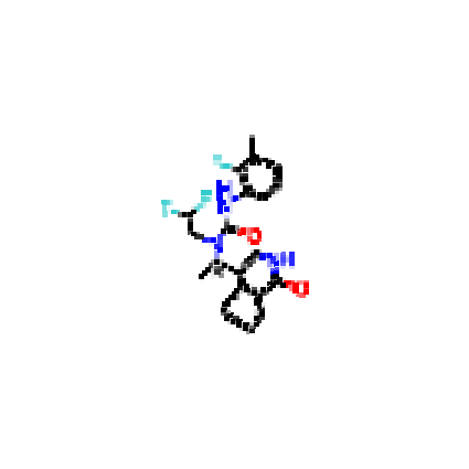 Cc1cccc(NC(=O)N(CC(F)F)[C@H](C)c2c[nH]c(=O)c3ccccc23)c1F